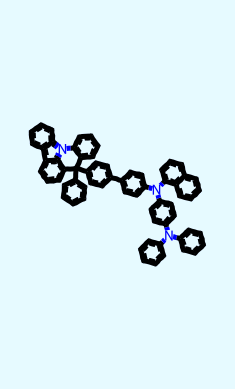 c1ccc(N(c2ccccc2)c2ccc(N(c3ccc(-c4ccc(C5(c6ccccc6)c6ccccc6-n6c7ccccc7c7cccc5c76)cc4)cc3)c3cccc4ccccc34)cc2)cc1